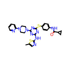 Cc1cnc(Nc2nc(Sc3ccc(NC(=O)C4CC4)cc3)nc(N3CCN(c4ccccn4)CC3)n2)s1